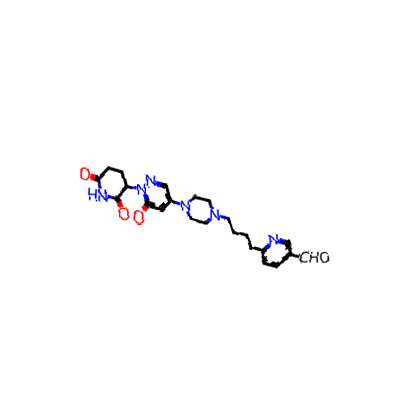 O=Cc1ccc(CCCCN2CCN(c3cnn(C4CCC(=O)NC4=O)c(=O)c3)CC2)nc1